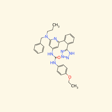 CCCN(Cc1ccccc1)c1cc(NC(=O)Nc2ccc(OCC)cc2)cc(-c2ccccc2-c2nnn[nH]2)n1